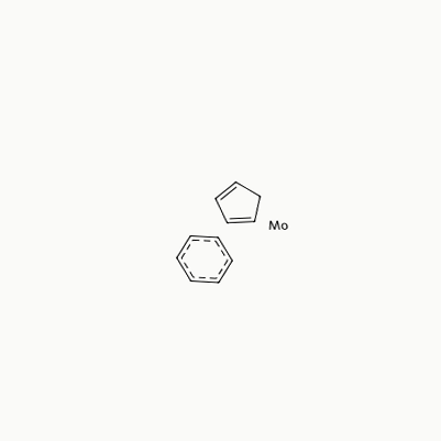 C1=CCC=C1.[Mo].c1ccccc1